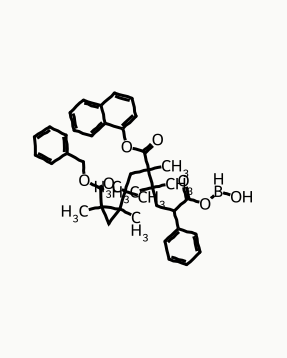 CC(C)(CC(C(=O)OBO)c1ccccc1)C(C)(CC(C)(C)C1(C)CC1(C)C(=O)OCc1ccccc1)C(=O)Oc1cccc2ccccc12